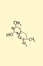 Cc1cc(CC(C)C)[n+]([O-])c(O)n1